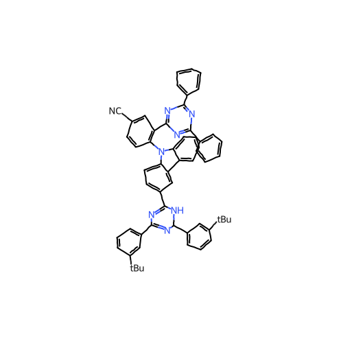 CC(C)(C)c1cccc(C2=NC(c3cccc(C(C)(C)C)c3)NC(c3ccc4c(c3)c3ccccc3n4-c3ccc(C#N)cc3-c3nc(-c4ccccc4)nc(-c4ccccc4)n3)=N2)c1